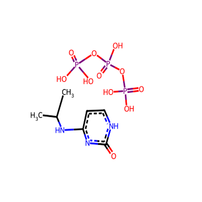 CC(C)Nc1cc[nH]c(=O)n1.O=P(O)(O)OP(=O)(O)OP(=O)(O)O